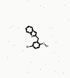 CCOc1ccc(Br)cc1Cc1cc2ccccc2s1